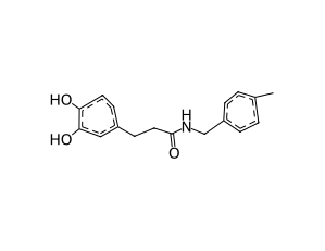 Cc1ccc(CNC(=O)CCc2ccc(O)c(O)c2)cc1